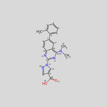 Cc1ccccc1-c1ccc2nc(-n3cc(C(=O)O)cn3)nc(N(C)C)c2c1